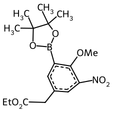 CCOC(=O)Cc1cc(B2OC(C)(C)C(C)(C)O2)c(OC)c([N+](=O)[O-])c1